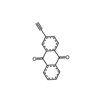 C#Cc1ccc2c(c1)C(=O)c1ccccc1C2=O